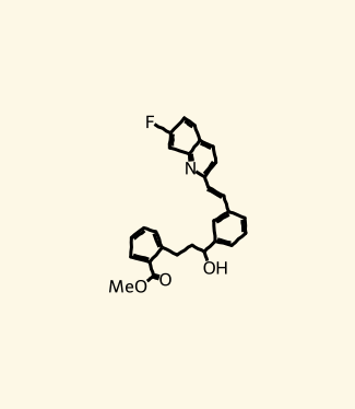 COC(=O)c1ccccc1CCC(O)c1cccc(/C=C/c2ccc3ccc(F)cc3n2)c1